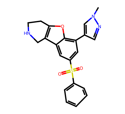 Cn1cc(-c2cc(S(=O)(=O)c3ccccc3)cc3c4c(oc23)CCNC4)cn1